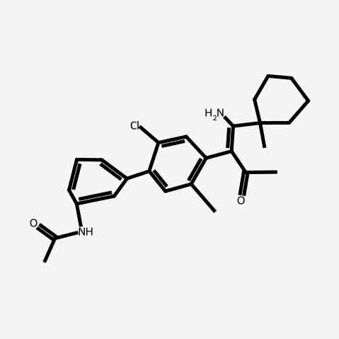 CC(=O)Nc1cccc(-c2cc(C)c(/C(C(C)=O)=C(\N)C3(C)CCCCC3)cc2Cl)c1